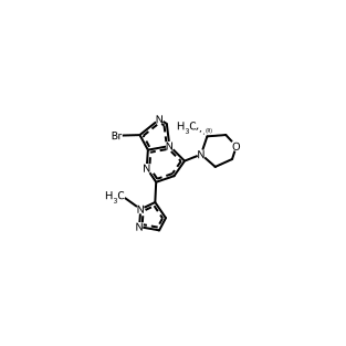 C[C@@H]1COCCN1c1cc(-c2ccnn2C)nc2c(Br)ncn12